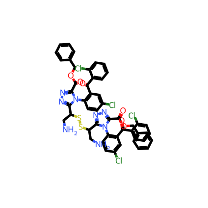 NCC(SSC(CN)c1nnc(C(=O)OCc2ccccc2)n1-c1ccc(Cl)cc1C(=O)c1ccccc1Cl)c1nnc(C(=O)OCc2ccccc2)n1-c1ccc(Cl)cc1C(=O)c1ccccc1Cl